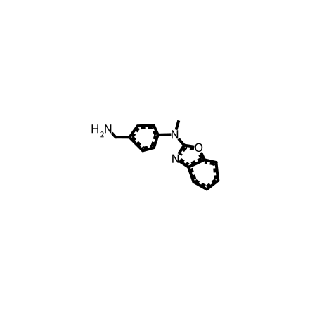 CN(c1ccc(CN)cc1)c1nc2ccccc2o1